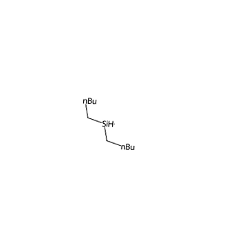 CCCCC[SiH]CCCCC